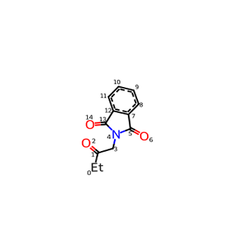 CCC(=O)CN1C(=O)c2ccccc2C1=O